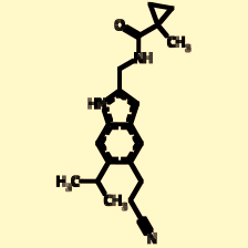 CC(C)c1cc2[nH]c(CNC(=O)C3(C)CC3)cc2cc1CCC#N